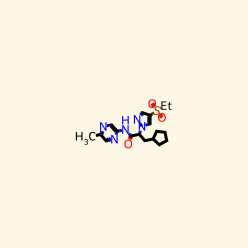 CCS(=O)(=O)c1cnn(C(CC2CCCC2)C(=O)Nc2cnc(C)cn2)c1